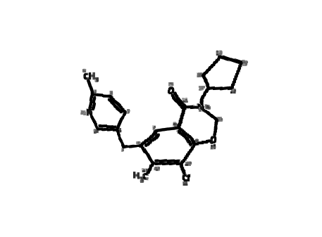 Cc1ccc(Cc2cc3c(c(Cl)c2C)OCN(C2CCCC2)C3=O)cn1